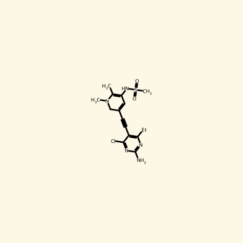 CCc1nc(N)nc(Cl)c1C#CC1=CC(NS(C)(=O)=O)=C(C)N(C)C1